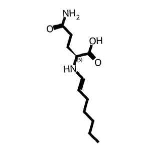 CCCCCC=CN[C@@H](CCC(N)=O)C(=O)O